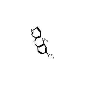 FC(F)(F)c1ccc(Oc2cc[c]nn2)c(C(F)(F)F)c1